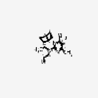 C1CC2CCC12.CCN(CCBr)c1nc(C)cc(C)n1